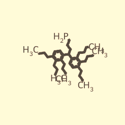 CCCCc1ccc(C(CCCP)c2ccc(CCCC)c(CCCC)c2CCCC)c(CCCC)c1CCCC